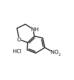 Cl.O=[N+]([O-])c1ccc2c(c1)NCCO2